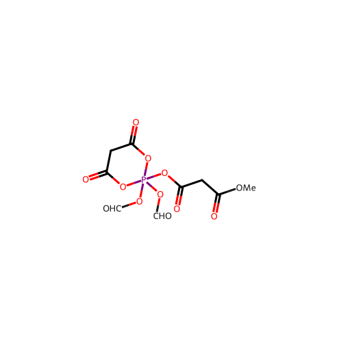 COC(=O)CC(=O)OP1(OC=O)(OC=O)OC(=O)CC(=O)O1